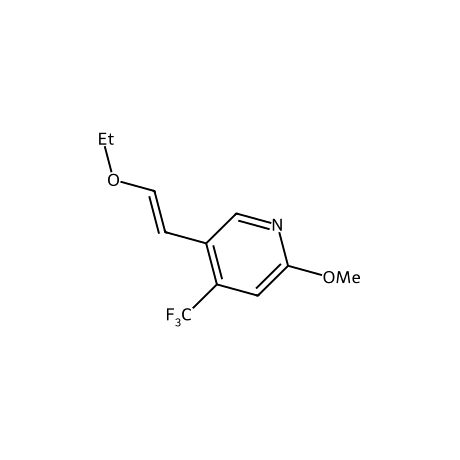 CCO/C=C/c1cnc(OC)cc1C(F)(F)F